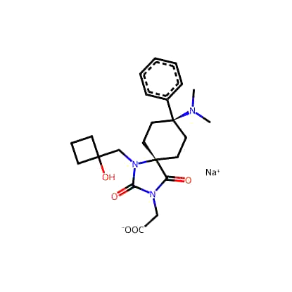 CN(C)[C@]1(c2ccccc2)CC[C@@]2(CC1)C(=O)N(CC(=O)[O-])C(=O)N2CC1(O)CCC1.[Na+]